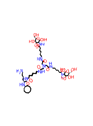 NCCCC[C@H](NC1CCCCCCCC1)C(=O)NC(=O)CCCCCNC(=O)CN(CC(=O)NCCCCCC(=O)N[C@H]1C(O)O[C@H](CO)[C@@H](O)[C@@H]1O)CC(=O)NCCCCCC(=O)N[C@H]1C(O)O[C@H](CO)[C@@H](O)[C@@H]1O